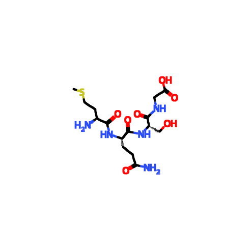 CSCC[C@H](N)C(=O)N[C@@H](CCC(N)=O)C(=O)N[C@@H](CO)C(=O)NCC(=O)O